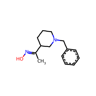 C/C(=N\O)C1CCCN(Cc2ccccc2)C1